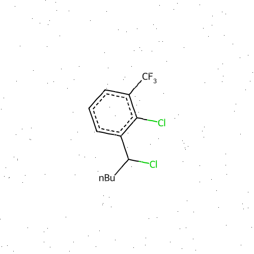 CCCCC(Cl)c1cccc(C(F)(F)F)c1Cl